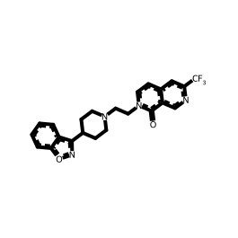 O=c1c2cnc(C(F)(F)F)cc2ccn1CCN1CCC(c2noc3ccccc23)CC1